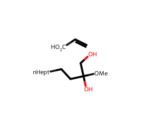 C=CC(=O)O.CCCCCCCCCC(O)(CO)OC